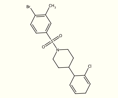 Cc1cc(S(=O)(=O)N2CCC(C3C=CCC=C3Cl)CC2)ccc1Br